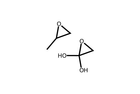 CC1CO1.OC1(O)CO1